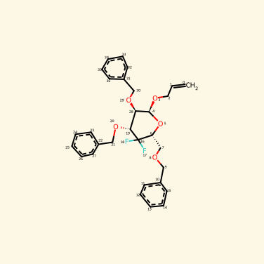 C=CCO[C@H]1O[C@H](COCc2ccccc2)C(F)(F)[C@H](OCc2ccccc2)[C@H]1OCc1ccccc1